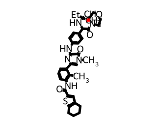 CCC(C)(C)NC(C(=O)N1CCOCC1)c1ccc(Nc2nc(-c3cccc(NC(=O)c4cc5c(s4)CCCC5)c3C)cn(C)c2=O)cc1